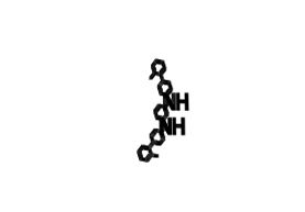 Cc1ccccc1-c1ccc(Nc2cccc(Nc3ccc(-c4ccccc4C)cc3)c2)cc1